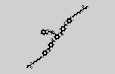 C=CC(=O)OCCCCCCOc1ccc(OC(=O)C2CCC(C(=O)Oc3ccc(OC(=O)C4CCC(C(=O)Oc5ccc(OCCCCCCOC(=O)C=C)cc5)CC4)c(/C=N/Nc4nc5ccccc5s4)c3)CC2)cc1